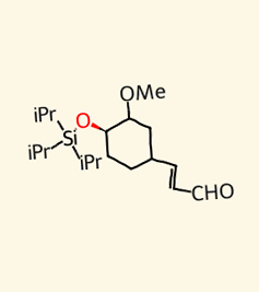 COC1CC(C=CC=O)CC[C@H]1O[Si](C(C)C)(C(C)C)C(C)C